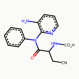 N#CCC(NC(=O)O)C(=O)N(c1ccccc1)c1ncccc1N